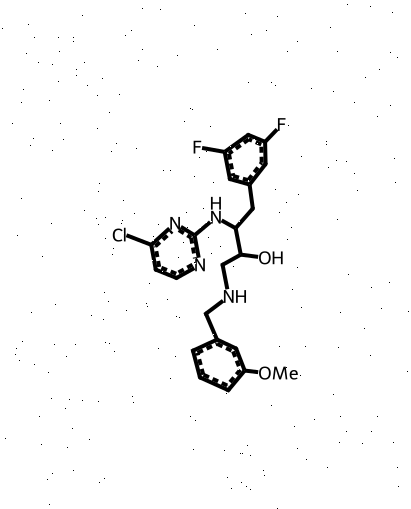 COc1cccc(CNCC(O)C(Cc2cc(F)cc(F)c2)Nc2nccc(Cl)n2)c1